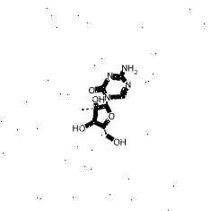 C[C@@]1(O)C(O)[C@@H](CO)O[C@H]1n1cnc(N)nc1=O